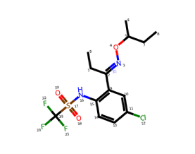 CC/C(=N\OC(C)CC)c1cc(Cl)ccc1NS(=O)(=O)C(F)(F)F